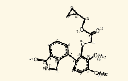 COc1ccc(-c2cccc3c2CNC3=O)c(OCC(=O)OCC2CC2)c1OC